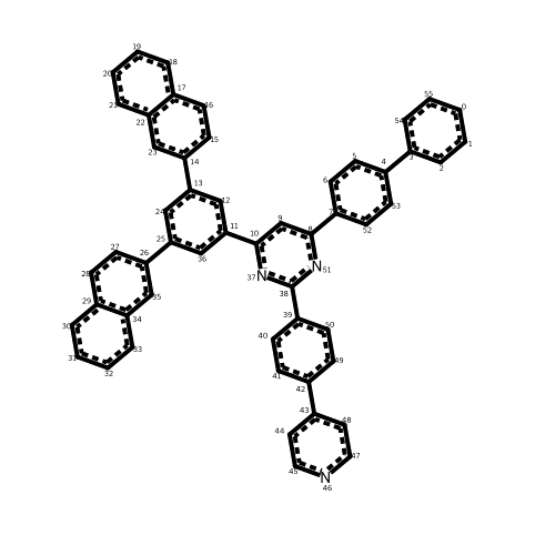 c1ccc(-c2ccc(-c3cc(-c4cc(-c5ccc6ccccc6c5)cc(-c5ccc6ccccc6c5)c4)nc(-c4ccc(-c5ccncc5)cc4)n3)cc2)cc1